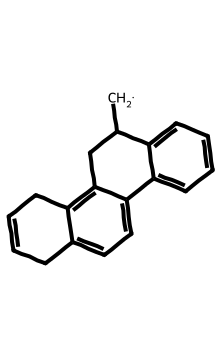 [CH2]C1Cc2c(ccc3c2CC=CC3)-c2ccccc21